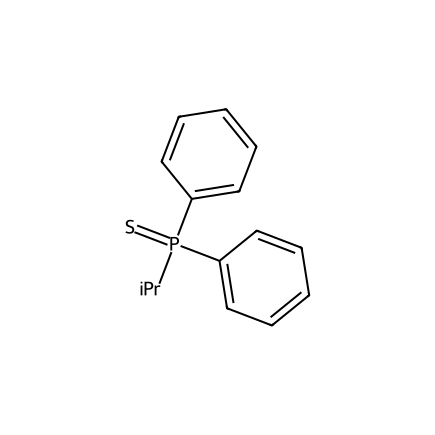 CC(C)P(=S)(c1ccccc1)c1ccccc1